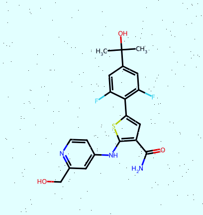 CC(C)(O)c1cc(F)c(-c2cc(C(N)=O)c(Nc3ccnc(CO)c3)s2)c(F)c1